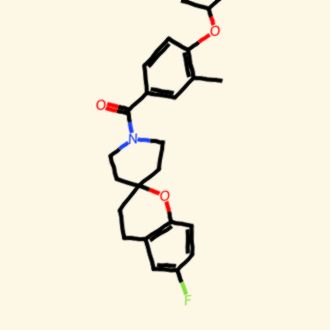 Cc1cc(C(=O)N2CCC3(CCc4cc(F)ccc4O3)CC2)ccc1OC(C)C